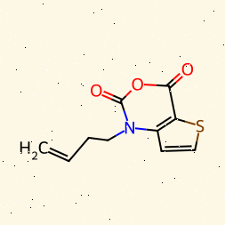 C=CCCn1c(=O)oc(=O)c2sccc21